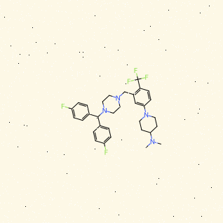 CN(C)C1CCN(c2ccc(C(F)(F)F)c(CN3CCN(C(c4ccc(F)cc4)c4ccc(F)cc4)CC3)c2)CC1